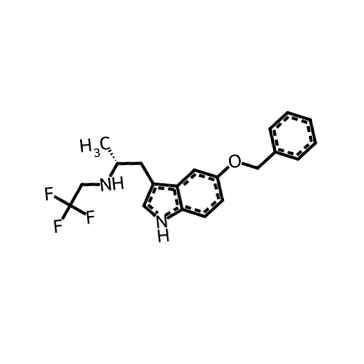 C[C@H](Cc1c[nH]c2ccc(OCc3ccccc3)cc12)NCC(F)(F)F